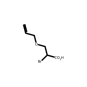 C=CCOCC(Br)C(=O)O